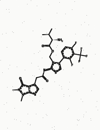 CC(C)[C@H](N)C(=O)OCn1c(-c2ccc(F)c(C(F)(F)F)c2F)cs/c1=N\C(=O)Cc1csc2c1c(=O)n(C)n2C